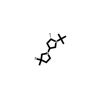 C[C@H]1CC(N2CCC(C)(F)C2)CN1C(C)(C)C